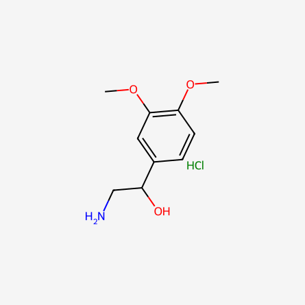 COc1ccc(C(O)CN)cc1OC.Cl